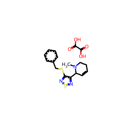 CN1CCC=CC1c1nsnc1SCc1ccccc1.O=C(O)C(=O)O